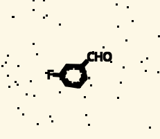 O=Cc1[c]ccc(F)c1